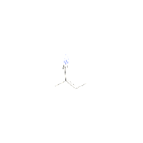 [CH2]/C=C(/C)C#N